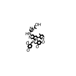 COc1ccc(CN(Cc2ccc(OC)cc2OC)c2nc(-c3cnccc3C)cc3cc(Nc4cnn(C(C)CO)c4)ncc23)c(OC)c1